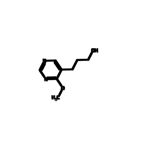 COc1ncncc1CCCO